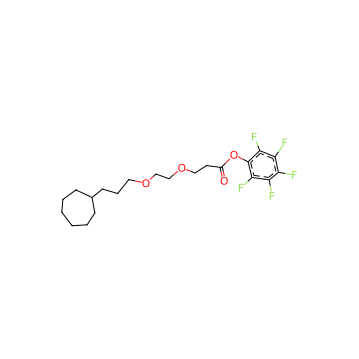 O=C(CCOCCOCCCC1CCCCCC1)Oc1c(F)c(F)c(F)c(F)c1F